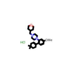 COc1ccc(C2=CCC(C)(C)CC2)c(N2CCN(CC3CCOCC3)CC2)c1.Cl